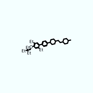 CCc1cc(-c2ccc(C3CCC(CCC4CCC(C)CC4)CC3)cc2)c(CC)cc1OCC(CC)(CC)CC